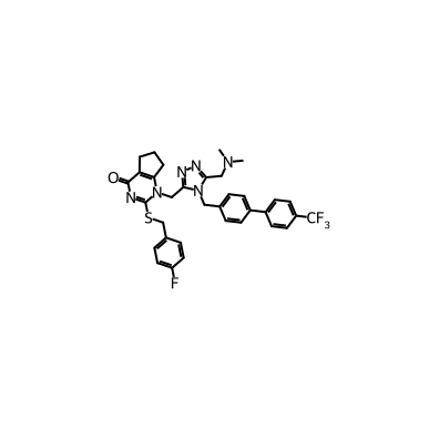 CN(C)Cc1nnc(Cn2c(SCc3ccc(F)cc3)nc(=O)c3c2CCC3)n1Cc1ccc(-c2ccc(C(F)(F)F)cc2)cc1